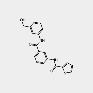 O=C(Nc1cccc(CO)c1)c1cccc(NC(=O)c2cccs2)c1